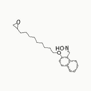 O/N=C\c1c(OCCCCCCCCCC2CO2)ccc2ccccc12